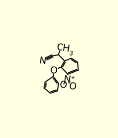 CC(C#N)c1cccc([N+](=O)[O-])c1Oc1ccccc1